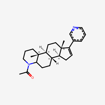 CC(=O)N1CCC[C@@]2(C)C1CC[C@@H]1[C@@H]2CC[C@]2(C)C(c3cccnc3)=CC[C@@H]12